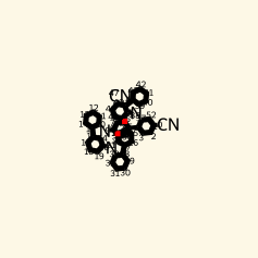 N#Cc1ccc(-c2ccc(-n3c4ccccc4c4cccc(-n5c6ccccc6c6ccccc65)c43)cc2)c(-n2c3ccccc3c3c(C#N)cccc32)c1